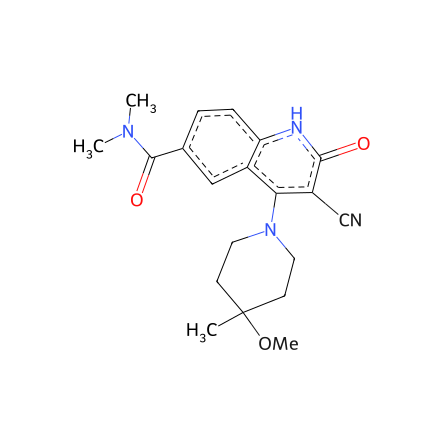 COC1(C)CCN(c2c(C#N)c(=O)[nH]c3ccc(C(=O)N(C)C)cc23)CC1